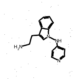 NCCc1cn(Nc2ccncc2)c2ccccc12